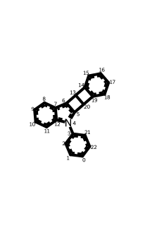 c1ccc(-n2c3c(c4ccccc42)C2c4ccccc4C32)cc1